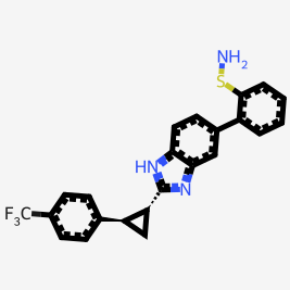 NSc1ccccc1-c1ccc2[nH]c([C@@H]3C[C@H]3c3ccc(C(F)(F)F)cc3)nc2c1